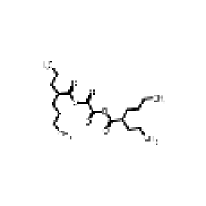 CCCCC(CCC)C(=O)OC(=O)C(=O)OC(=O)C(CCC)CCCC